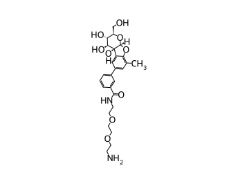 Cc1cc(-c2cccc(C(=O)NCCOCCOCCN)c2)cc2c1O[C@H]1O[C@H](CO)[C@@H](O)[C@H](O)[C@@]21O